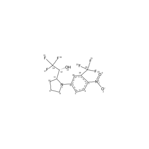 O=[N+]([O-])c1ccc(N2CCCC2[C@@H](O)C(F)(F)F)cc1C(F)(F)F